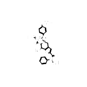 COc1ccc(S(=O)(=O)N2Cc3cc(C(=O)N(C)c4ccccc4)sc3[C@H](O)[C@H]2C(=O)NO)cc1